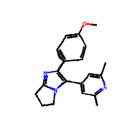 COc1ccc(-c2nc3n(c2-c2cc(C)nc(C)c2)CCC3)cc1